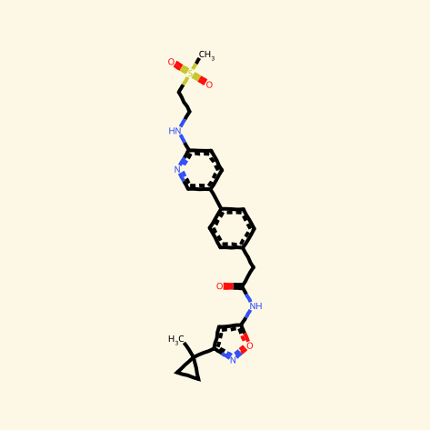 CC1(c2cc(NC(=O)Cc3ccc(-c4ccc(NCCS(C)(=O)=O)nc4)cc3)on2)CC1